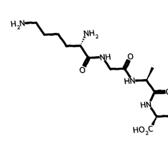 C[C@H](NC(=O)[C@H](C)NC(=O)CNC(=O)[C@@H](N)CCCCN)C(=O)O